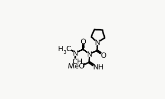 COC(=N)N(C(=O)N(C)C)C(=O)N1CCCC1